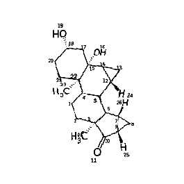 C[C@]12CCC3C(C1[C@@H]1C[C@@H]1C2=O)[C@H]1CC1[C@]1(O)C[C@@H](O)CC[C@]31C